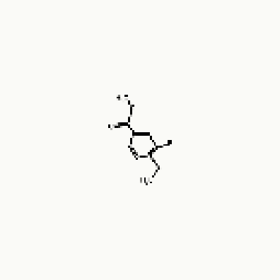 C[CH]c1ccc(C(=O)OC)cc1F